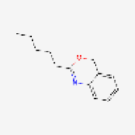 CCCCCC1=Nc2ccccc2CO1